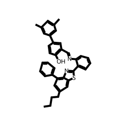 CCCCc1cc(-c2ccccc2)c2nc(-c3ccccc3/N=C/c3cc(-c4cc(C)cc(C)c4)ccc3O)sc2c1